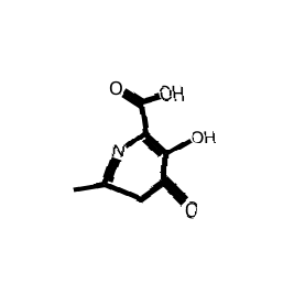 CC1=NC(C(=O)O)=C(O)C(=O)C1